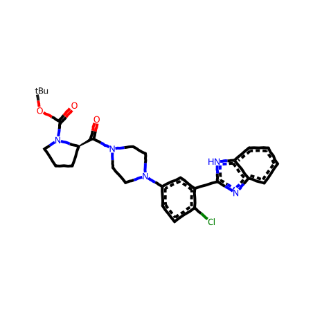 CC(C)(C)OC(=O)N1CCC[C@@H]1C(=O)N1CCN(c2ccc(Cl)c(-c3nc4ccccc4[nH]3)c2)CC1